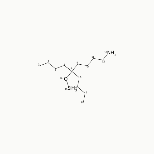 CCCCC(CCCC)(CCCCN)O[SiH3]